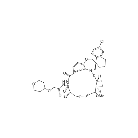 CC[C@@H]1CC/C=C/[C@H](OC)[C@@H]2CC[C@H]2CN2C[C@@]3(CCCc4cc(Cl)ccc43)COc3ccc(cc32)C(=O)N=[S@@]1(=O)NC(=O)COC1CCOCC1